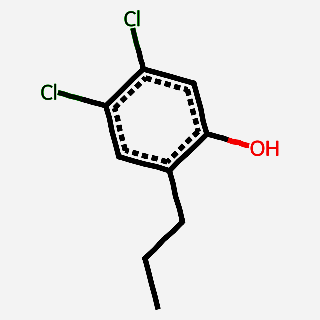 CCCc1cc(Cl)c(Cl)cc1O